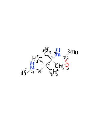 CCC(C)C(=O)NC(C)(C)C(C)(C)CNC(C)C